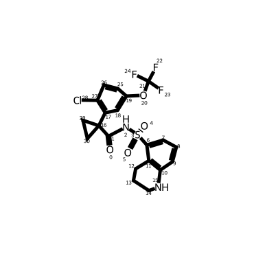 O=C(NS(=O)(=O)c1cccc2c1CCCN2)C1(c2cc(OC(F)(F)F)ccc2Cl)CC1